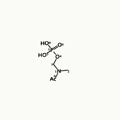 CC(=O)N(C)COP(=O)(O)O